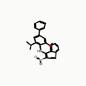 CC(C)c1cc(-c2ccccc2)cc(C(C)C)c1Nc1c([N+](=O)[O-])ccc2ccccc12